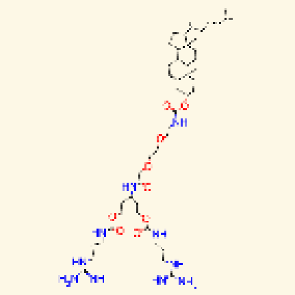 CC(C)CCCC(C)C1CCC2C3CC=C4CC(OC(=O)NCCOCCOCC(=O)NC(CCOC(=O)NCCCNC(=N)N)CCOC(=O)NCCCNC(=N)N)CCC4(C)C3CCC12C